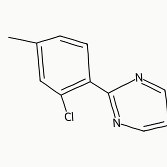 Cc1ccc(-c2ncccn2)c(Cl)c1